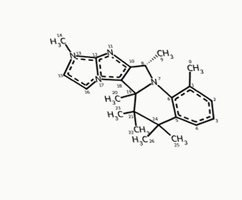 Cc1cccc2c1N1[C@@H](C)c3nc4n(C)ccn4c3C1(C)C(C)(C)C2(C)C